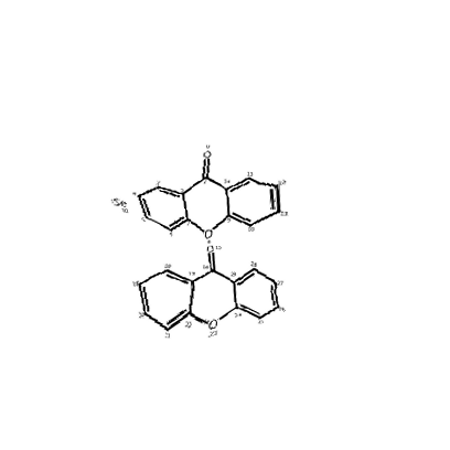 O=c1c2ccccc2oc2ccccc12.O=c1c2ccccc2oc2ccccc12.[Se]